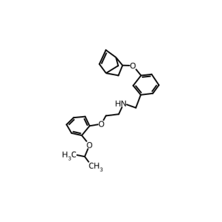 CC(C)Oc1ccccc1OCCNCc1cccc(OC2CC3C=CC2C3)c1